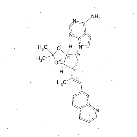 C/C(=C\c1ccc2cccnc2c1)[C@H]1C[C@@H](n2ccc3c(N)ncnc32)[C@@H]2OC(C)(C)O[C@@H]21